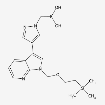 C[Si](C)(C)CCOCn1cc(-c2cnn(CB(O)O)c2)c2cccnc21